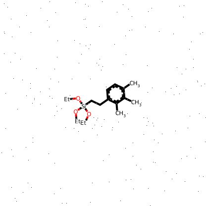 CCO[Si](CCc1ccc(C)c(C)c1C)(OCC)OCC